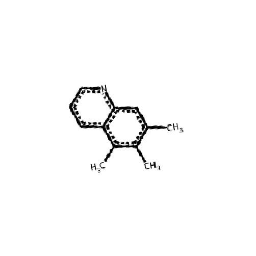 Cc1cc2ncccc2c(C)c1C